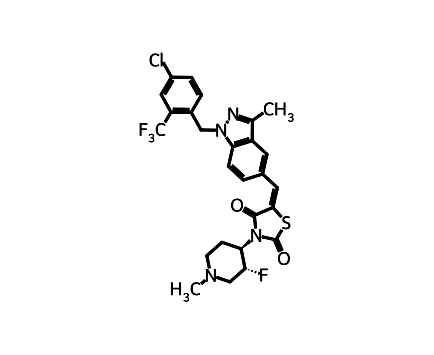 Cc1nn(Cc2ccc(Cl)cc2C(F)(F)F)c2ccc(C=C3SC(=O)N([C@@H]4CCN(C)C[C@H]4F)C3=O)cc12